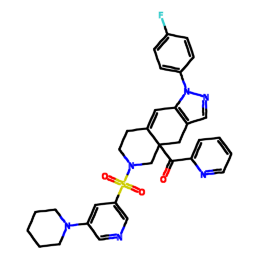 O=C(c1ccccn1)C12Cc3cnn(-c4ccc(F)cc4)c3C=C1CCN(S(=O)(=O)c1cncc(N3CCCCC3)c1)C2